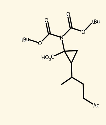 CC(=O)CCC(C)C1CC1(C(=O)O)N(C(=O)OC(C)(C)C)C(=O)OC(C)(C)C